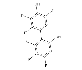 Oc1cc(F)c(F)c(F)c1-c1cc(F)c(O)c(F)c1F